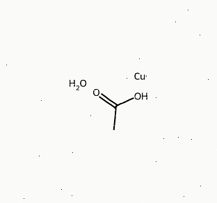 CC(=O)O.O.[Cu]